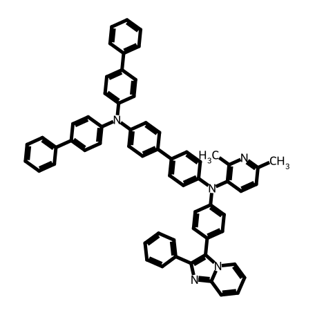 Cc1ccc(N(c2ccc(-c3ccc(N(c4ccc(-c5ccccc5)cc4)c4ccc(-c5ccccc5)cc4)cc3)cc2)c2ccc(-c3c(-c4ccccc4)nc4ccccn34)cc2)c(C)n1